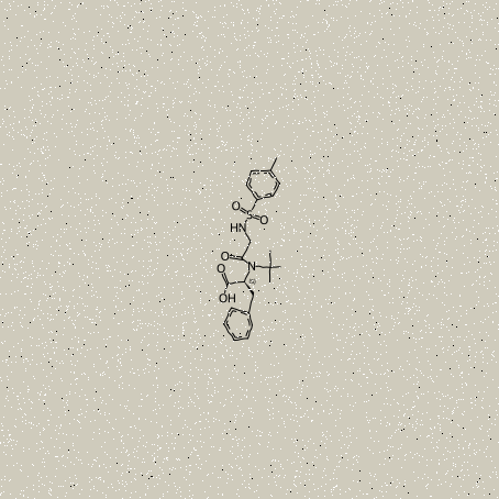 Cc1ccc(S(=O)(=O)NCC(=O)N([C@@H](Cc2ccccc2)C(=O)O)C(C)(C)C)cc1